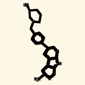 Nc1cc2c(cn1)[nH]c1ncc(-c3ccc(CN4CCC[C@H](O)C4)cc3)cc12